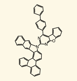 c1ccc(-c2ccc(-c3nc(-n4c5cc6ccccc6cc5c5c6c7ccccc7c7ccccc7c6ccc54)nc4oc5ccccc5c34)cc2)cc1